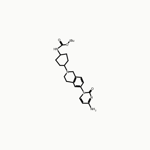 CC(C)(C)OC(=O)NC1CCC(N2CCc3cc(-n4ccc(N)nc4=O)ccc3C2)CC1